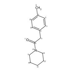 Cc1ccc(CC(=O)N2CCCCC2)cc1